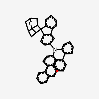 c1ccc(-c2ccccc2N(c2ccc3c(c2)-c2ccccc2C32C3CC4CC5CC2C53C4)c2ccc3c(ccc4ccccc43)c2)cc1